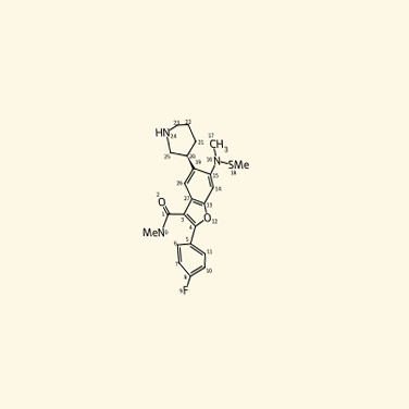 CNC(=O)c1c(-c2ccc(F)cc2)oc2cc(N(C)SC)c([C@@H]3CCCNC3)cc12